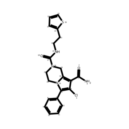 NC(=O)c1c(Cl)c(-c2ccccc2)n2c1CN(C(=O)NCCc1cccs1)CC2